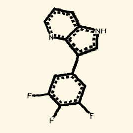 Fc1cc(-c2c[nH]c3cccnc23)cc(F)c1F